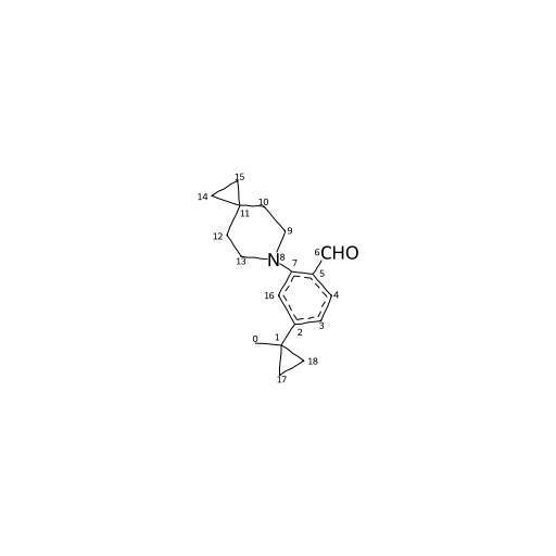 CC1(c2ccc(C=O)c(N3CCC4(CC3)CC4)c2)CC1